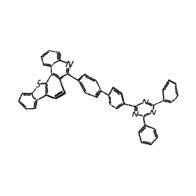 c1ccc(-c2nc(-c3ccccc3)nc(-c3ccc(-c4ccc(-c5nc6ccccc6c6c5ccc5c7ccccc7sc56)cc4)cc3)n2)cc1